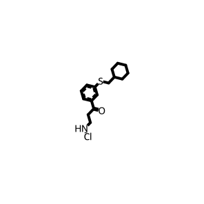 O=C(CCNCl)c1cccc(SCC2CCCCC2)c1